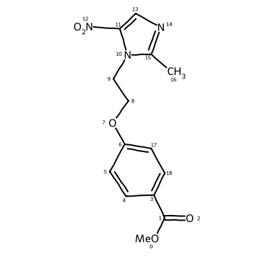 COC(=O)c1ccc(OCCn2c([N+](=O)[O-])cnc2C)cc1